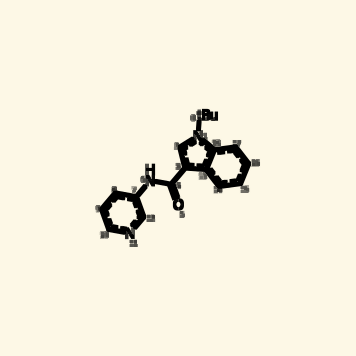 CC(C)(C)n1cc(C(=O)Nc2cccnc2)c2ccccc21